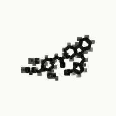 C[C@@H]1CN(CC(=O)N2CCc3c(n(Cc4ccc(Cl)s4)c4ccccc34)C2)C[C@H](C)N1CC(=O)O